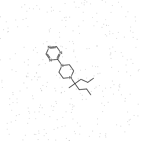 CCCC(C)(CCC)N1CCN(c2ncncn2)CC1